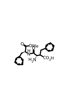 COC(=O)[C@H](Cc1ccccc1)NC(=O)[C@@H](N)C(Cc1ccccc1)C(=O)O